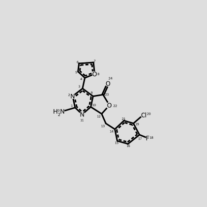 Nc1nc(-c2ccco2)c2c(n1)C(Cc1ccc(F)c(Cl)c1)OC2=O